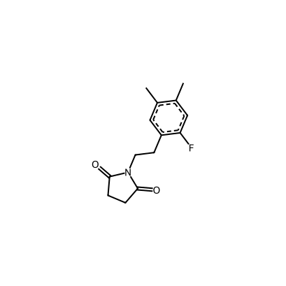 Cc1cc(F)c(CCN2C(=O)CCC2=O)cc1C